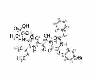 CC[C@H](C)[C@H](NC(=O)C(=O)C(C)NC(=O)[C@H](Cc1ccc(Br)cc1)NC(=O)Cc1ccccc1)C(=O)NC(C)(C)C(=O)O